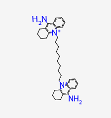 Nc1c2c([n+](CCCCCCCCCC[n+]3c4c(c(N)c5ccccc53)CCCC4)c3ccccc13)CCCC2